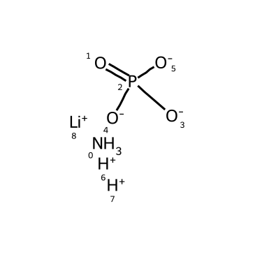 N.O=P([O-])([O-])[O-].[H+].[H+].[Li+]